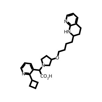 O=C(O)C(c1cccnc1C1CCC1)N1CCC(OCCCCC2CCc3cccnc3N2)C1